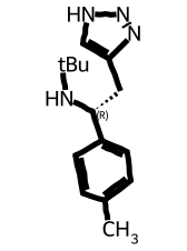 Cc1ccc([C@@H](Cc2c[nH]nn2)NC(C)(C)C)cc1